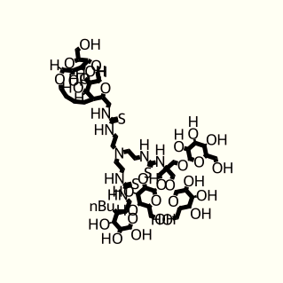 CCCCC1C(CNC(=S)NCCN(CCNC(=S)NCC2O[C@@H]3OC4C(CO)O[C@H](OCCCCC2[C@@H](O)C3O)C(O)[C@@H]4O)CCNC(=S)NC(CO[C@H]2OC(CO)[C@@H](O)[C@H](O)C2O)(CO[C@H]2OC(CO)[C@@H](O)[C@H](O)C2O)CO[C@H]2OC(CO)[C@@H](O)[C@H](O)C2O)O[C@H](O)C(O)[C@@H]1O